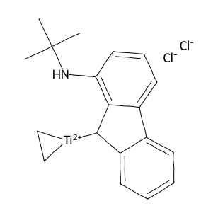 CC(C)(C)Nc1cccc2c1[CH]([Ti+2]1[CH2][CH2]1)c1ccccc1-2.[Cl-].[Cl-]